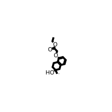 [CH2]C1(O)CCc2c(cccc2OCC(=O)OCC)C1